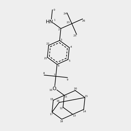 CNC(c1ccc(C(C)(C)OC23CC4CC(CC(C4)C2)C3)cc1)C(C)(C)C